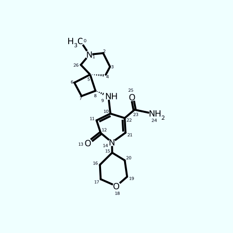 CN1CCC[C@]2(CC[C@H]2Nc2cc(=O)n(C3CCOCC3)cc2C(N)=O)C1